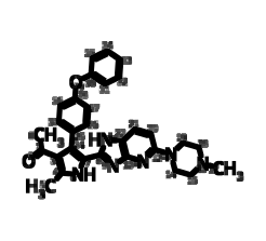 CC(=O)c1c(C)[nH]c(-c2nc3nc(N4CCN(C)CC4)ccc3[nH]2)c1-c1ccc(Oc2ccccc2)cc1